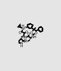 CC(C)C[C@H](NC(=O)OC(c1ccccc1)C(C)(C)c1cccc(F)c1)C(=O)N[C@@H](C[C@@H]1CCNC1=O)C(=O)C(=O)NC1CC1